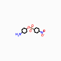 Nc1ccc(OS(=O)(=O)c2ccc([N+](=O)[O-])cc2)cc1